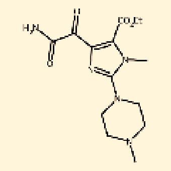 CCOC(=O)c1c(C(=O)C(N)=O)nc(N2CCN(C)CC2)n1C